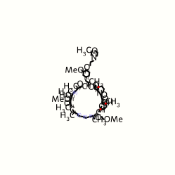 COCCO[C@H]1C[C@@H]2CC[C@@H](C)[C@@](O)(O2)C(=O)C(=O)N2CCCC[C@H]2C(=O)O[C@H]([C@H](C)C[C@@H]2CC[C@@H](OCCCN3CCO[C@@H](C)C3)[C@H](OC)C2)CC(=O)[C@H](C)/C=C(\C)[C@@H](O)[C@@H](OC)C(=O)[C@H](C)C[C@H](C)/C=C/C=C/C=C/1C